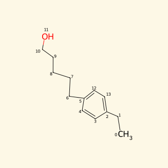 CCc1ccc(CCCCCO)cc1